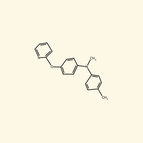 Cc1ccc(N(C)c2ccc(Oc3ccccn3)cc2)cc1